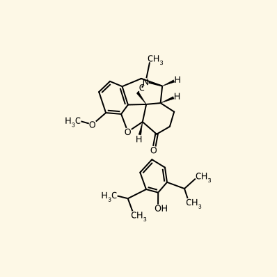 CC(C)c1cccc(C(C)C)c1O.COc1ccc2c3c1O[C@H]1C(=O)CC[C@H]4[C@@H](C2)N(C)CC[C@]314